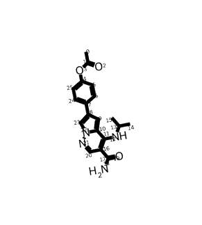 CC(=O)Oc1ccc(-c2cc3c(NC(C)C)c(C(N)=O)cnn3c2)cc1